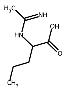 CCCC(NC(C)=N)C(=O)O